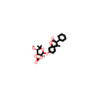 CO[C@@H]1C2OC(=O)O[C@@H]2C(Oc2ccc3c(C)c(-c4ccccc4)c(=O)oc3c2)OC1(C)C